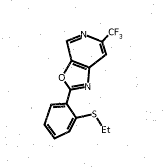 CCSc1ccccc1-c1nc2cc(C(F)(F)F)ncc2o1